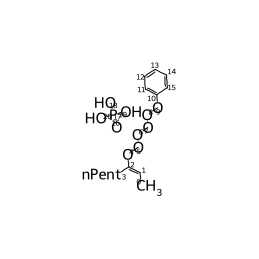 CC=C(CCCCC)OOOOOOc1ccccc1.O=P(O)(O)O